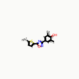 CCCc1ccc(-c2nc(-c3cc(C)c(O)c(CC)c3)no2)s1